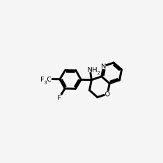 NC1(c2ccc(C(F)(F)F)c(F)c2)CCOc2cccnc21